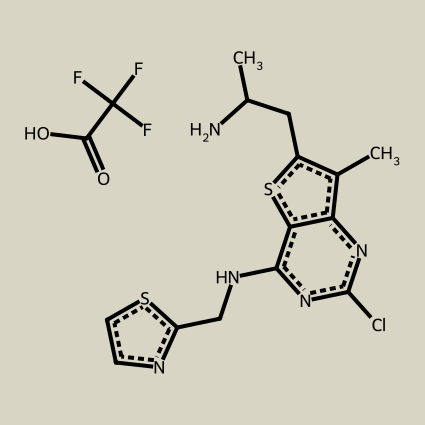 Cc1c(CC(C)N)sc2c(NCc3nccs3)nc(Cl)nc12.O=C(O)C(F)(F)F